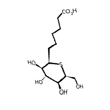 O=C(O)CCCCC[C@H]1S[C@@H](CO)[C@@H](O)[C@H](O)[C@H]1O